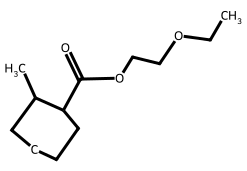 CCOCCOC(=O)C1CCCCC1C